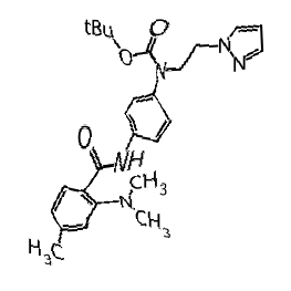 Cc1ccc(C(=O)Nc2ccc(N(CCn3cccn3)C(=O)OC(C)(C)C)cc2)c(N(C)C)c1